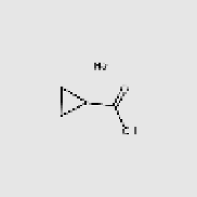 O=C(O)C1CC1.[Na]